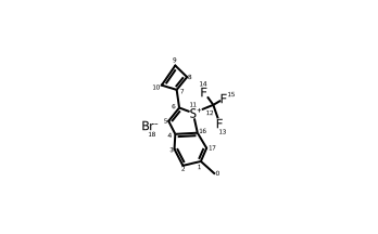 Cc1ccc2cc(C3=CC=C3)[s+](C(F)(F)F)c2c1.[Br-]